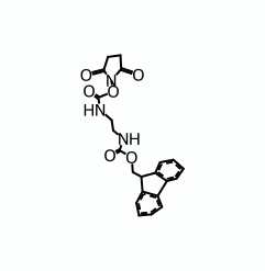 O=C(NCCNC(=O)ON1C(=O)CCC1=O)OCC1c2ccccc2-c2ccccc21